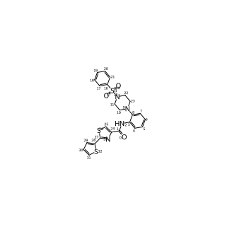 O=C(Nc1ccccc1N1CCN(S(=O)(=O)c2ccccc2)CC1)c1csc(-c2cccs2)n1